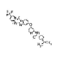 CC(C)N1CC[C@@H](C(=O)Nc2cc(Oc3ccc4c(c3)nc(Nc3ccc(C(F)(F)F)cc3)n4C)ccn2)C1